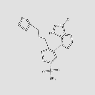 NS(=O)(=O)c1ccc(CCCn2ccnc2)c(-c2cccc3c(Cl)c[nH]c23)c1